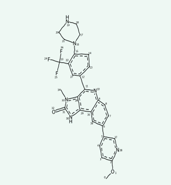 COc1ccc(-c2ccc3nc(-c4ccc(N5CCNCC5)c(C(F)(F)F)c4)c4c([nH]c(=O)n4C)c3c2)cn1